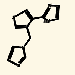 c1cn(Cc2cscc2-c2ncc[nH]2)cn1